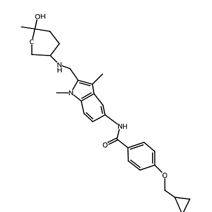 Cc1c(CNC2CCC(C)(O)CC2)n(C)c2ccc(NC(=O)c3ccc(OCC4CC4)cc3)cc12